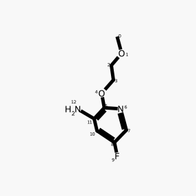 COCCOc1ncc(F)cc1N